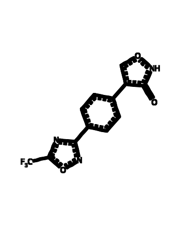 O=c1[nH]occ1-c1ccc(-c2noc(C(F)(F)F)n2)cc1